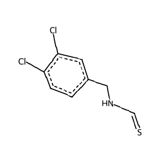 S=CNCc1ccc(Cl)c(Cl)c1